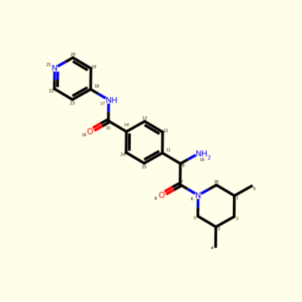 CC1CC(C)CN(C(=O)C(N)c2ccc(C(=O)Nc3ccncc3)cc2)C1